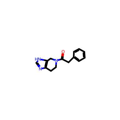 O=C(Cc1ccccc1)N1CCc2nc[nH]c2C1